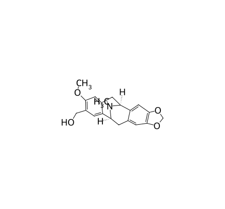 COc1cc2c(cc1CO)[C@@H]1Cc3cc4c(cc3[C@H](C2)N1C)OCO4